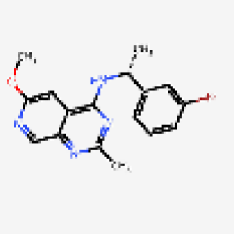 COc1cc2c(N[C@H](C)c3cccc(Br)c3)nc(C)nc2cn1